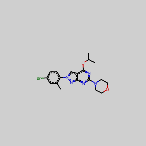 Cc1cc(Br)ccc1-n1cc2c(OC(C)C)nc(N3CCOCC3)nc2n1